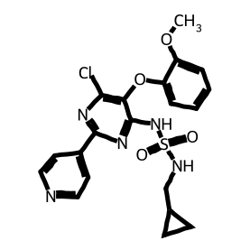 COc1ccccc1Oc1c(Cl)nc(-c2ccncc2)nc1NS(=O)(=O)NCC1CC1